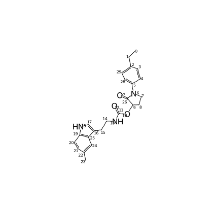 CCc1ccc(N2CCC(OC(=O)NCCc3c[nH]c4ccc(C)cc34)C2=O)cc1